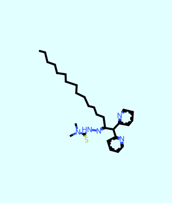 CCCCCCCCCCCCCCC(=NNC(=S)N(C)C)C(c1ccccn1)c1ccccn1